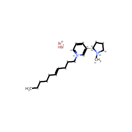 Br.CCCCCC=CCCC[n+]1cccc([C@@H]2CCCN2C)c1.[Br-]